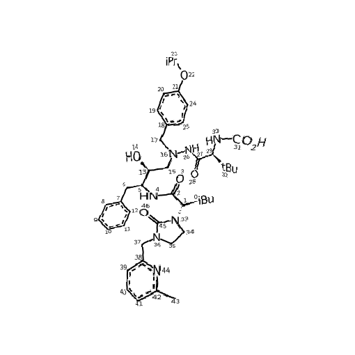 CC[C@H](C)[C@@H](C(=O)N[C@@H](Cc1ccccc1)[C@@H](O)CN(Cc1ccc(OC(C)C)cc1)NC(=O)[C@@H](NC(=O)O)C(C)(C)C)N1CCN(Cc2cccc(C)n2)C1=O